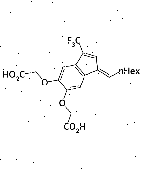 CCCCCC/C=C1\C=C(C(F)(F)F)c2cc(OCC(=O)O)c(OCC(=O)O)cc21